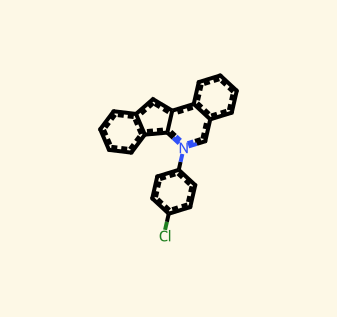 Clc1ccc(-n2cc3ccccc3c3cc4ccccc4c2-3)cc1